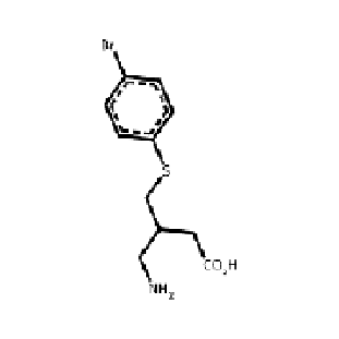 NCC(CSc1ccc(Br)cc1)CC(=O)O